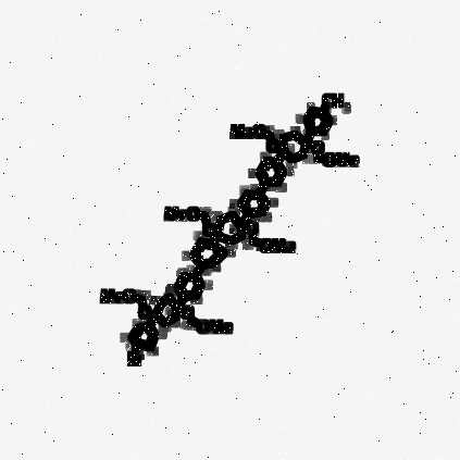 COCOC1(c2ccc(C)cc2)CCC(OCOC)(c2ccc(-c3ccc(C4(OCOC)CCC(OCOC)(c5ccc(-c6ccc(C7(OCOC)CCC(OCOC)(c8ccc(Br)cc8)CC7)cc6)cc5)CC4)cc3)cc2)CC1